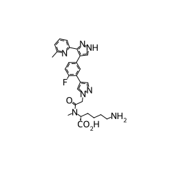 Cc1cccc(-c2n[nH]cc2-c2ccc(F)c(-c3cnn(CC(=O)N(C)[C@@H](CCCCN)C(=O)O)c3)c2)n1